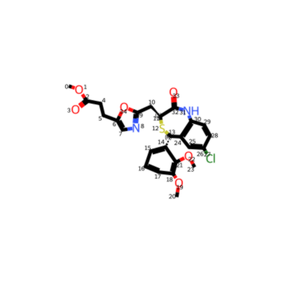 COC(=O)CCc1cnc(C[C@@H]2S[C@@H](c3cccc(OC)c3OC)c3cc(Cl)ccc3NC2=O)o1